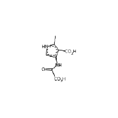 Cc1[nH]cc(NC(=O)C(=O)O)c1C(=O)O